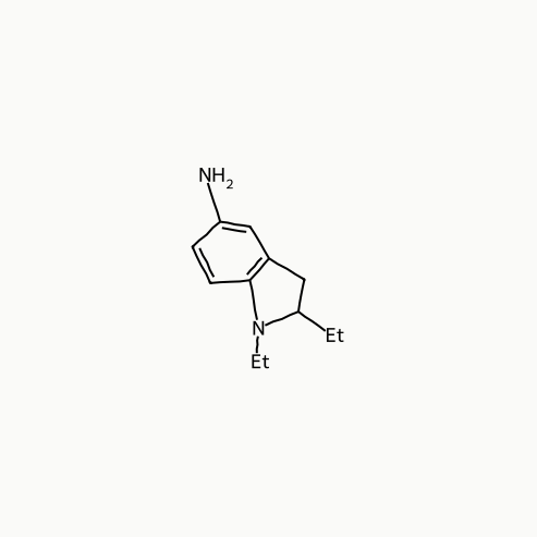 CCC1Cc2cc(N)ccc2N1CC